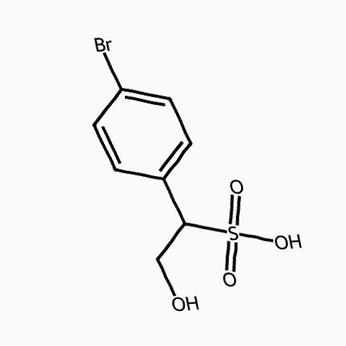 O=S(=O)(O)C(CO)c1ccc(Br)cc1